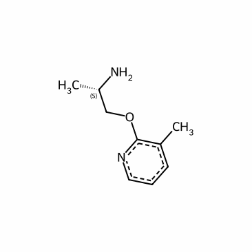 Cc1cccnc1OC[C@H](C)N